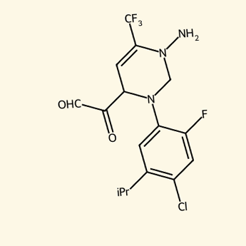 CC(C)c1cc(N2CN(N)C(C(F)(F)F)=CC2C(=O)C=O)c(F)cc1Cl